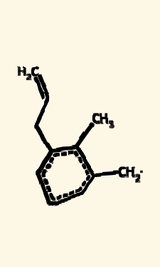 [CH2]c1cccc(CC=C)c1C